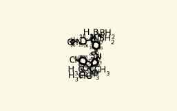 BC(B)(B)n1nc(C2CCN(C3COC3)CC2)c2cc(-c3nc4cc(C)c([C@H](OC(C)(C)C)C(=O)O)c(-c5ccc(Cl)cc5)c4s3)ccc21